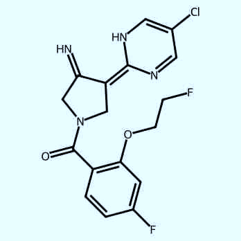 N=C1CN(C(=O)c2ccc(F)cc2OCCF)C/C1=C1\N=CC(Cl)=CN1